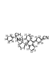 C=C(NCc1cccc(-c2c3ccccc3c(-c3ccc(C#N)cc3)c3ccccc23)c1)c1ccccc1